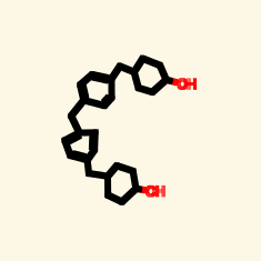 OC1CCC(Cc2ccc(Cc3ccc(CC4CCC(O)CC4)cc3)cc2)CC1